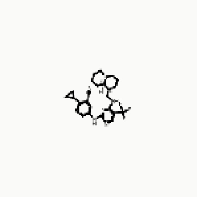 N#Cc1cc(Nc2ncc(C(F)(F)F)c(NC[C@@H]3CCCN4CCCC[C@H]34)n2)ccc1C1CC1